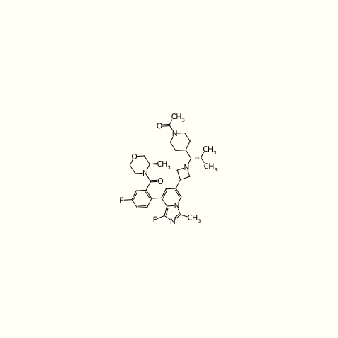 CC(=O)N1CCC([C@H](C(C)C)N2CC(c3cc(-c4ccc(F)cc4C(=O)N4CCOC[C@H]4C)c4c(F)nc(C)n4c3)C2)CC1